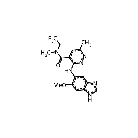 COc1cc2[nH]cnc2cc1Nc1nnc(C)cc1C(=O)N(C)CC(F)(F)F